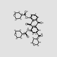 O=C1c2cccc(OC(=O)C3CCOCC3)c2C(=O)c2c(OC(=O)C3CCOCC3)cc(C(=O)N3CCOCC3)cc21